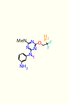 CNc1nc(OCC(F)(F)P)nc(N(I)c2cccc(N)c2)n1